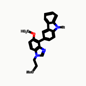 CCn1c2ccccc2c2cc(-c3c(OC(=O)O)ccc4c3ncn4CCOC)ccc21